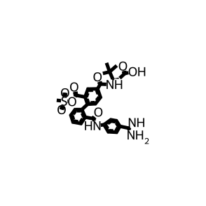 CC(C)(C)[C@H](CC(=O)O)NC(=O)c1ccc(-c2ccccc2C(=O)Nc2ccc(C(=N)N)cc2)c(C(=O)OS(C)(=O)=O)c1